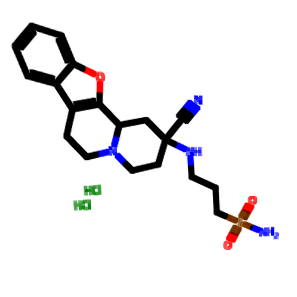 Cl.Cl.N#CC1(NCCCS(N)(=O)=O)CCN2CCc3c(oc4ccccc34)C2C1